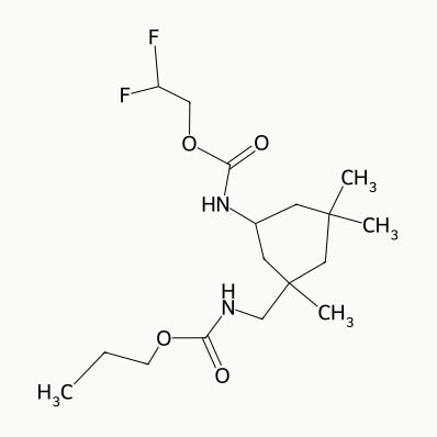 CCCOC(=O)NCC1(C)CC(NC(=O)OCC(F)F)CC(C)(C)C1